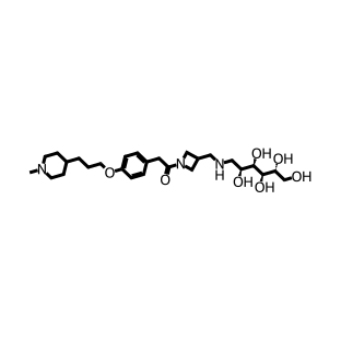 CN1CCC(CCCOc2ccc(CC(=O)N3CC(CNC[C@H](O)[C@@H](O)[C@H](O)[C@H](O)CO)C3)cc2)CC1